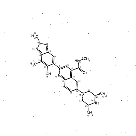 CNC(=O)c1nc(-c2cc3cn(C)nc3c(C)c2O)nc2ccc(N3C[C@@H](C)N[C@H](C)C3)cc12